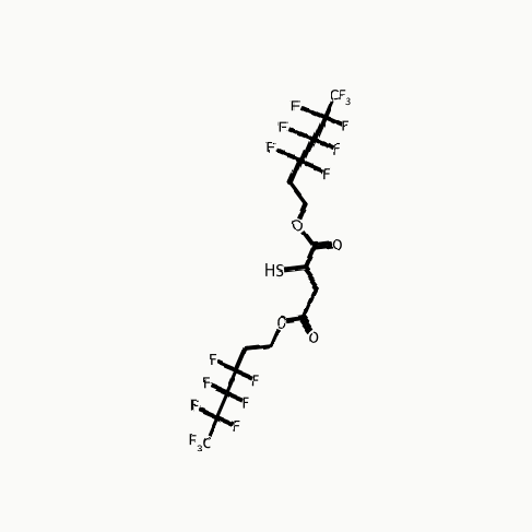 O=C(CC(S)C(=O)OCCC(F)(F)C(F)(F)C(F)(F)C(F)(F)F)OCCC(F)(F)C(F)(F)C(F)(F)C(F)(F)F